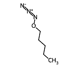 CCCCCON=[N+]=[N-]